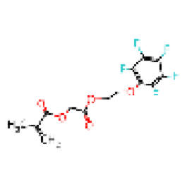 C=C(C)C(=O)OCC(=O)OCCOc1c(F)c(F)c(F)c(F)c1F